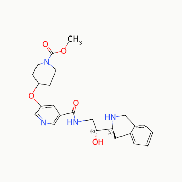 COC(=O)N1CCC(Oc2cncc(C(=O)NC[C@@H](O)[C@@H]3Cc4ccccc4CN3)c2)CC1